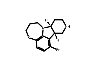 Brc1ccc2c3c1[C@H]1CNCC[C@H]1N3CCCS2